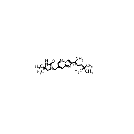 CC(C)(CC[C@H](N)c1cn2ncc(CN3C[C@@](C)(C(F)(F)F)NC3=O)cc2n1)C(F)(F)F